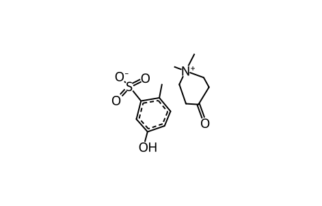 C[N+]1(C)CCC(=O)CC1.Cc1ccc(O)cc1S(=O)(=O)[O-]